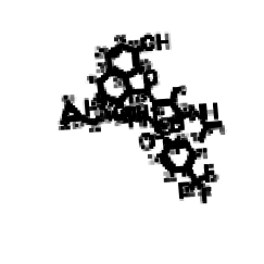 C/C(C(=O)NC(C)C)=C(/NS(=O)(=O)c1ccc(C(F)(F)F)cc1)[C@@H]1Oc2c(O)ccc3c2[C@@]12CCN(CC1CC1)[C@H](C3)[C@@]2(C)O